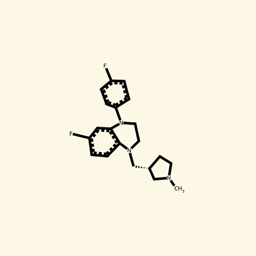 CN1CC[C@@H](CN2CCN(c3ccc(F)cc3)c3cc(F)ccc32)C1